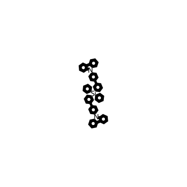 c1ccc([Si](c2ccccc2)(c2cccc(-c3ccc(-n4c5ccccc5c5ccccc54)cc3)c2)c2cccc(-c3ccc(-n4c5ccccc5c5ccccc54)cc3)c2)cc1